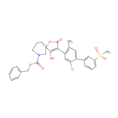 Cc1cc(-c2cccc(S(C)(=O)=O)c2)c(Cl)cc1C1=C(O)C2(CCCN(C(=O)OCc3ccccc3)C2)OC1=O